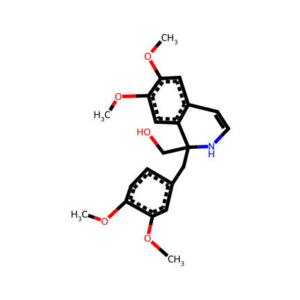 COc1ccc(CC2(CO)NC=Cc3cc(OC)c(OC)cc32)cc1OC